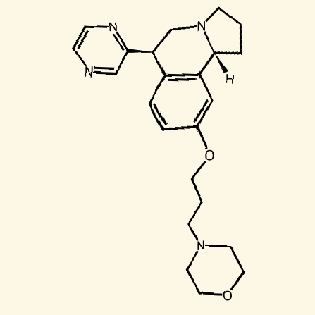 c1cnc([C@H]2CN3CCC[C@@H]3c3cc(OCCCN4CCOCC4)ccc32)cn1